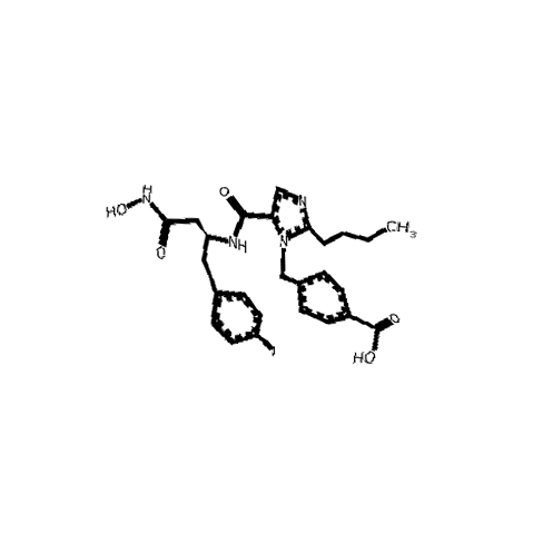 CCCCc1ncc(C(=O)N[C@H](CC(=O)NO)Cc2ccc(I)cc2)n1Cc1ccc(C(=O)O)cc1